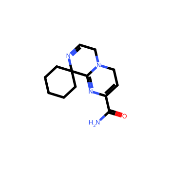 NC(=O)C1=CCN2CC=NC3(CCCCC3)C2=N1